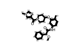 CO[C@@H](C(=O)Nc1ccc(C)c(OC2CCN(C(=O)c3cn(C)cn3)CC2)c1)c1ccccc1